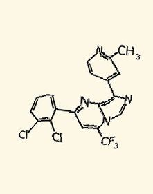 Cc1cc(-c2ncn3c(C(F)(F)F)cc(-c4cccc(Cl)c4Cl)nc23)ccn1